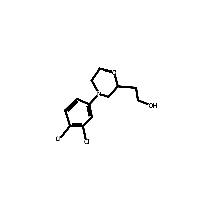 OCCC1CN(c2ccc(Cl)c(Cl)c2)CCO1